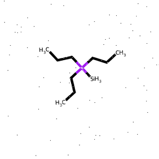 CCC[I]([SiH3])(CCC)CCC